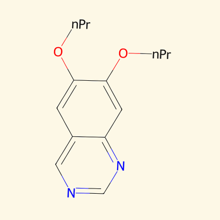 CCCOc1cc2cncnc2cc1OCCC